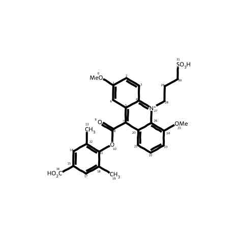 COc1ccc2c(c1)c(C(=O)Oc1c(C)cc(C(=O)O)cc1C)c1cccc(OC)c1[n+]2CCCS(=O)(=O)O